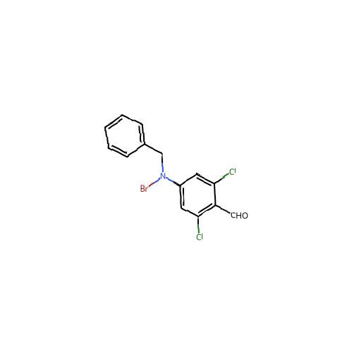 O=Cc1c(Cl)cc(N(Br)Cc2ccccc2)cc1Cl